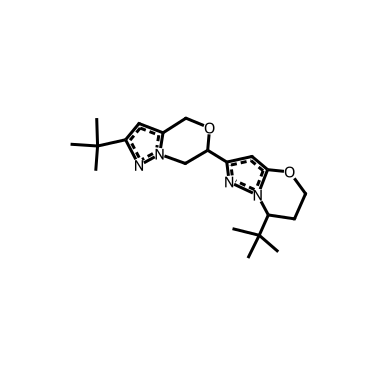 CC(C)(C)c1cc2n(n1)CC(c1cc3n(n1)C(C(C)(C)C)CCO3)OC2